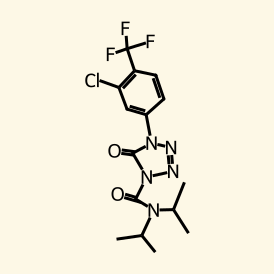 CC(C)N(C(=O)n1nnn(-c2ccc(C(F)(F)F)c(Cl)c2)c1=O)C(C)C